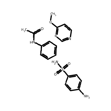 CC(=O)Nc1ccccc1.COc1ccncn1.Nc1ccc(S(N)(=O)=O)cc1